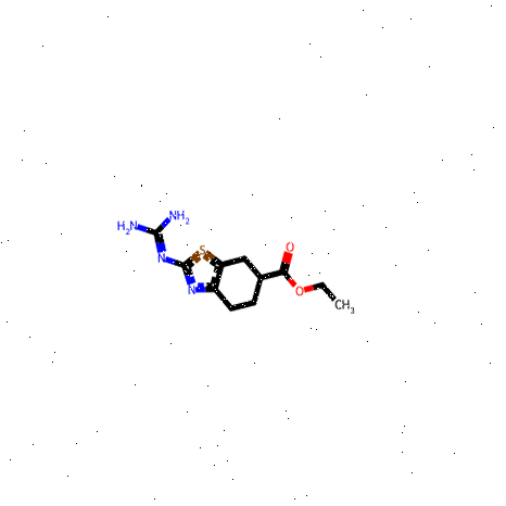 CCOC(=O)C1CCc2nc(N=C(N)N)sc2C1